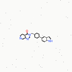 O=c1c2ccncc2ncn1Cc1ccc(C2=CC3C=CNC3C=C2)cc1